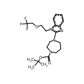 CC(C)(C)OC(=O)N1CCCN(c2nc3ccccc3n2CCOCC(F)(F)F)CC1